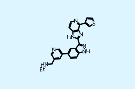 CCNCc1cncc(-c2ccc3[nH]nc(-c4nc5c(-c6ccsc6)nccc5[nH]4)c3c2)c1